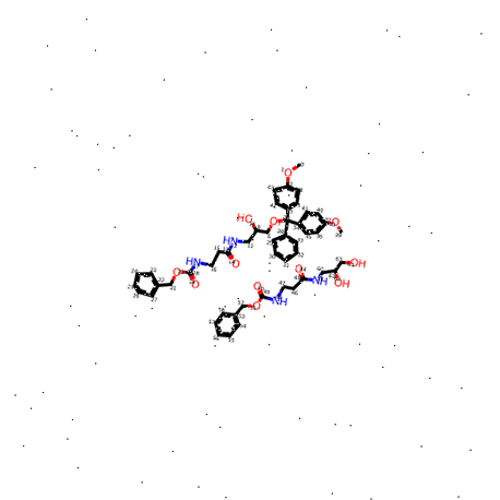 COc1ccc(C(OCC(O)CNC(=O)CCNC(=O)OCc2ccccc2)(c2ccccc2)c2ccc(OC)cc2)cc1.O=C(CCNC(=O)OCc1ccccc1)NCC(O)CO